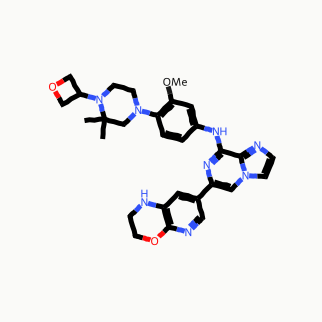 COc1cc(Nc2nc(-c3cnc4c(c3)NCCO4)cn3ccnc23)ccc1N1CCN(C2COC2)C(C)(C)C1